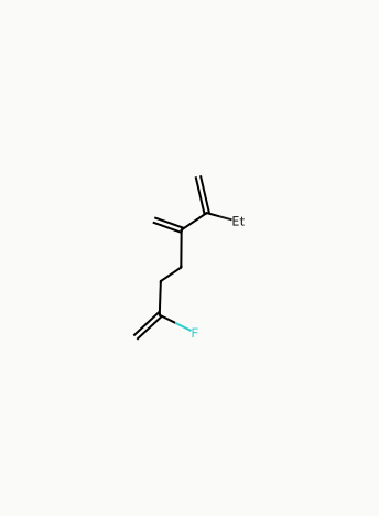 C=C(F)CCC(=C)C(=C)CC